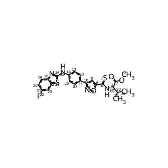 COC(=O)[C@@H](NC(=S)c1cc(-c2ccc(Nc3nc4ccc(F)cc4s3)cc2)no1)C(C)C